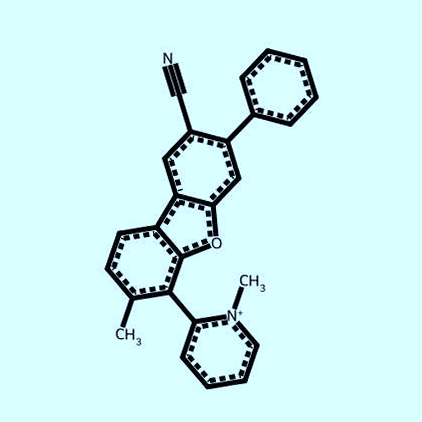 Cc1ccc2c(oc3cc(-c4ccccc4)c(C#N)cc32)c1-c1cccc[n+]1C